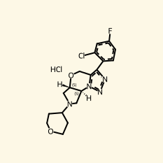 Cl.Fc1ccc(-c2nnn3c2CO[C@H]2CN(C4CCOCC4)C[C@@H]23)c(Cl)c1